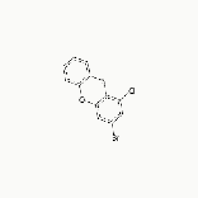 Clc1cc(Br)cc2c1Sc1ccccc1O2